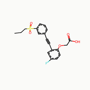 CCCS(=O)(=O)c1cccc(C#Cc2cc(F)ccc2OCC(=O)O)c1